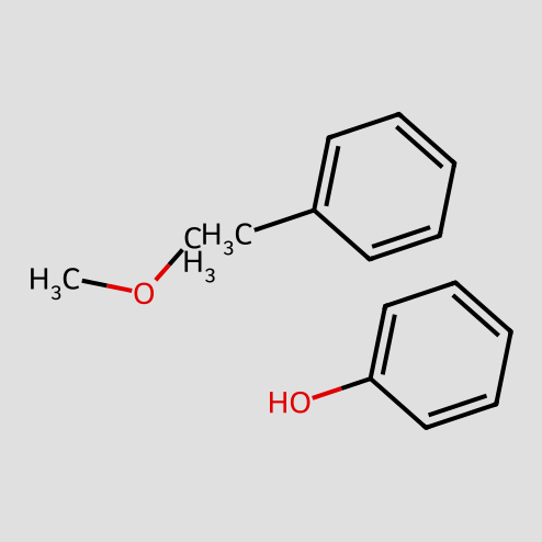 COC.Cc1ccccc1.Oc1ccccc1